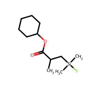 CC(C[Si](C)(C)F)C(=O)OC1CCCCC1